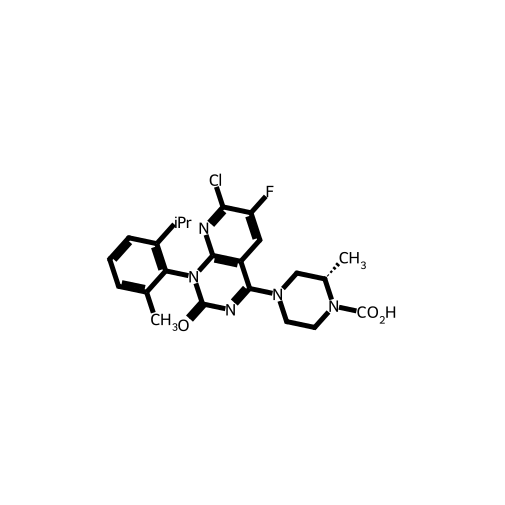 Cc1cccc(C(C)C)c1-n1c(=O)nc(N2CCN(C(=O)O)[C@@H](C)C2)c2cc(F)c(Cl)nc21